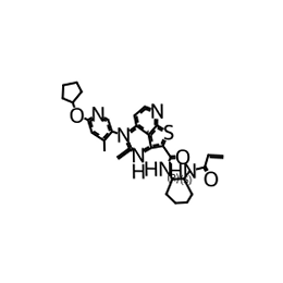 C=CC(=O)N[C@H]1CCCC[C@H]1NC(=O)c1sc2nccc3c2c1[nH]c(=C)n3-c1cnc(OC2CCCC2)cc1C